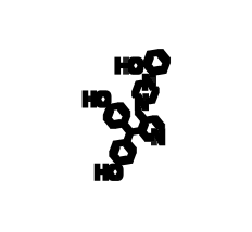 Oc1ccc(C(c2ccc(O)cc2)c2cnccc2CN2CCN(c3ccccc3O)CC2)cc1